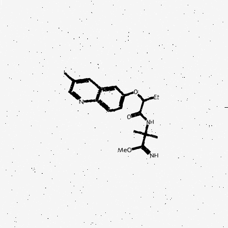 CCC(Oc1ccc2ncc(I)cc2c1)C(=O)NC(C)(C)C(=N)OC